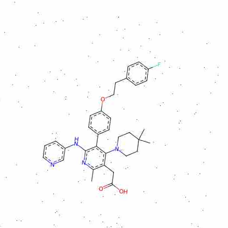 Cc1nc(Nc2cccnc2)c(-c2ccc(OCCc3ccc(F)cc3)cc2)c(N2CCC(C)(C)CC2)c1CC(=O)O